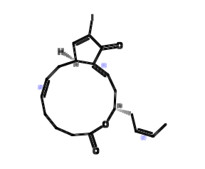 C/C=C\C[C@H]1C/C=C2/C(=O)C(I)=C[C@@H]2C/C=C\CCCC(=O)O1